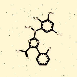 COc1cc(C)cc(N(OC)c2nc(-c3ccccc3Cl)c(C(N)=O)s2)c1[N+](=O)[O-]